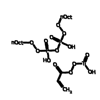 C=CC(=O)O[O][Ti](=[O])[OH].CCCCCCCCOOP(=O)(O)OP(=O)(O)OOCCCCCCCC